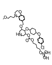 COCCCN1CCOc2ccc(COC3CNCC(OC(=O)OCCCCON(O)O)C3OC3CCC(Oc4ccc(Cl)cc4)CC3)cc21